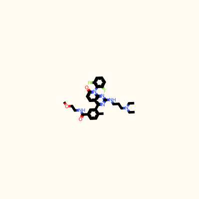 CCN(CC)CCCNc1nc(-c2cc(C(=O)NCCOC)ccc2C)c2ccc(=O)n(-c3c(F)cccc3F)c2n1